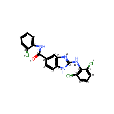 O=C(Nc1ccccc1Cl)c1ccc2[nH]c(Nc3c(Cl)cccc3Cl)nc2c1